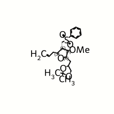 C=CC[C@@H]1O[C@H](CC2COC(C)(C)O2)[C@H](OC)[C@H]1CS(=O)(=O)c1ccccc1